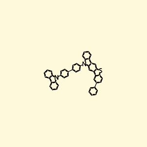 c1ccc(-c2ccc3sc4cc5c6ccccc6n(-c6ccc(-c7ccc(-n8c9ccccc9c9ccccc98)cc7)cc6)c5cc4c3c2)cc1